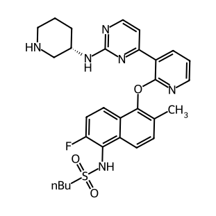 CCCCS(=O)(=O)Nc1c(F)ccc2c(Oc3ncccc3-c3ccnc(N[C@H]4CCCNC4)n3)c(C)ccc12